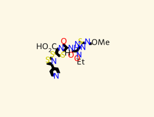 CCO/N=C(\C(=O)N[C@@H]1C(=O)N2C(C(=O)O)=C(Sc3nc(-c4ccncc4)cs3)CS[C@H]12)c1nsc(N=COC)n1